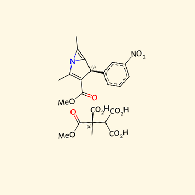 COC(=O)C1=C(C)N2C(C)=C2[C@H]1c1cccc([N+](=O)[O-])c1.COC(=O)[C@](C)(C(=O)O)C(C(=O)O)C(=O)O